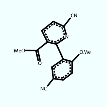 COC(=O)c1ccc(C#N)nc1-c1cc(C#N)ccc1OC